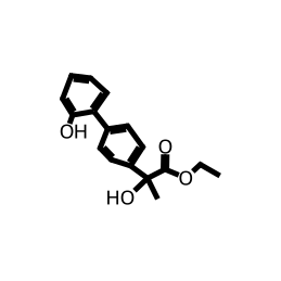 CCOC(=O)C(C)(O)c1ccc(-c2ccccc2O)cc1